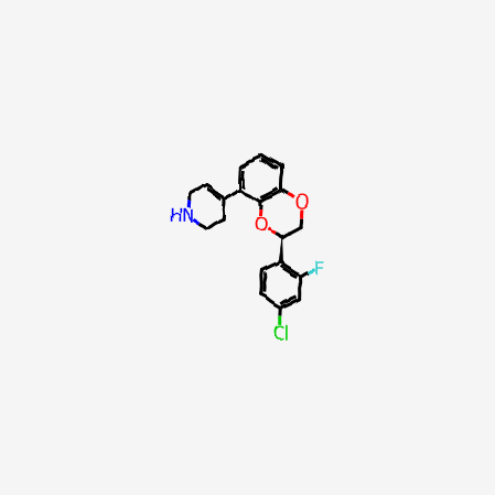 Fc1cc(Cl)ccc1[C@@H]1COc2cccc(C3=CCNCC3)c2O1